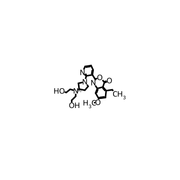 CCc1cc(OC)cc2nc(-c3cccnc3N3CC[C@@H](N(CCO)CCO)C3)oc(=O)c12